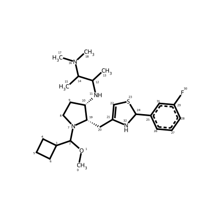 COC(C1CCC1)N1CC[C@H](NC(C)C(C)N(C)C)[C@@H]1CC1=CSC(c2cccc(F)c2)N1